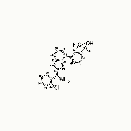 C[C@](O)(c1ccnc(-c2cccc3cc(C(N)c4ccccc4Cl)sc23)c1)C(F)(F)F